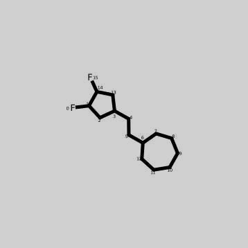 FC1CC(CCC2CCCCCC2)CC1F